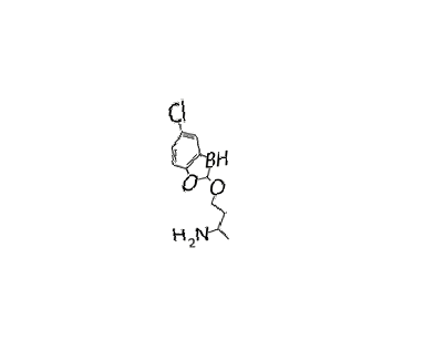 CC(N)CCOC1Bc2cc(Cl)ccc2O1